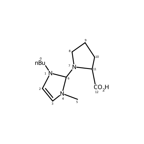 CCCCN1C=CN(C)C1N1CCCC1C(=O)O